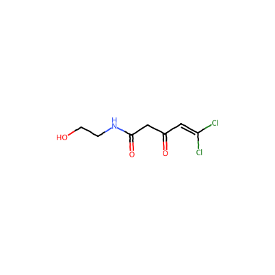 O=C(C=C(Cl)Cl)CC(=O)NCCO